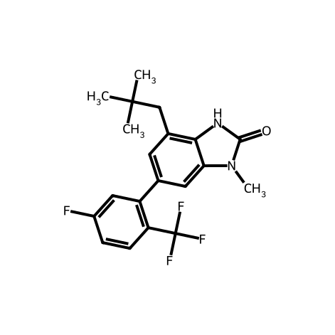 Cn1c(=O)[nH]c2c(CC(C)(C)C)cc(-c3cc(F)ccc3C(F)(F)F)cc21